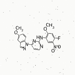 COc1ccc2c(cnn2-c2ccnc(Nc3cc([N+](=O)[O-])c(F)cc3OC)n2)c1